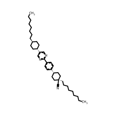 CCCCCCCCC[C@]1(C#N)CC[C@H](c2ccc(-c3ncc([C@H]4CC[C@H](CCCCCCCC)CC4)cn3)cc2)CC1